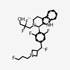 C[C@@H]1Cc2c([nH]c3ccccc23)[C@@H](c2c(F)cc([C@H](F)C3CN(CCCF)C3)cc2F)N1CC(F)(F)CO